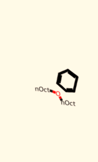 CCCCCCCCOCCCCCCCC.c1ccccc1